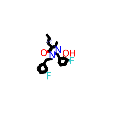 C/C=C/c1c(C)nc(-c2cccc(F)c2O)n(CCc2cccc(F)c2)c1=O